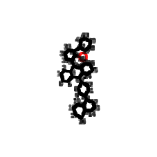 C1=CCC2C(=C1)C(c1ccc(-c3cccc4ccccc34)cc1)=c1ccccc1=C2c1cccc2c1oc1ccccc12